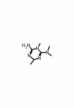 CC1N=C(N)N(C)C(N(C)C)=N1